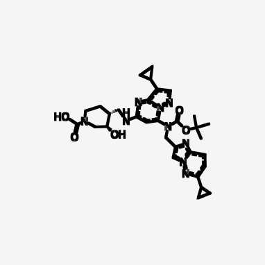 CC(C)(C)OC(=O)N(Cc1cn2nc(C3CC3)ccc2n1)c1cc(NC[C@H]2CCN(C(=O)O)C[C@@H]2O)nc2c(C3CC3)cnn12